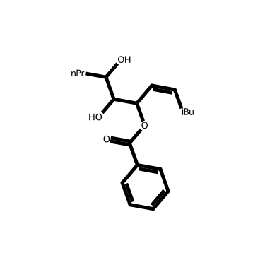 CCCC(O)C(O)C(/C=C\C(C)CC)OC(=O)c1ccccc1